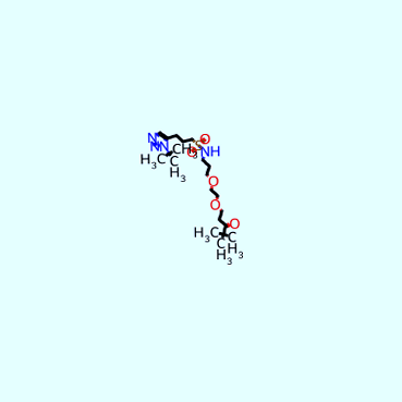 CC(C)(C)C(=O)CCOCCOCCCNS(=O)(=O)CCCc1cnnn1C(C)(C)C